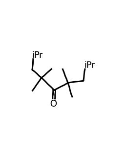 CC(C)CC(C)(C)C(=O)C(C)(C)CC(C)C